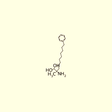 CC(N)(CCCCCCCCCc1ccccc1)C(O)O